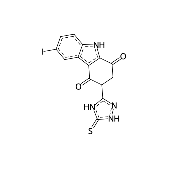 O=C1CC(c2n[nH]c(=S)[nH]2)C(=O)c2c1[nH]c1ccc(I)cc21